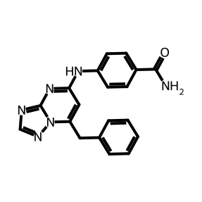 NC(=O)c1ccc(Nc2cc(Cc3ccccc3)n3ncnc3n2)cc1